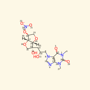 Cn1c(=O)c2c(ncn2CC(O)C[C@@]2(O)CO[C@@H]3[C@@H](O[N+](=O)[O-])CO[C@@H]32)n(C)c1=O